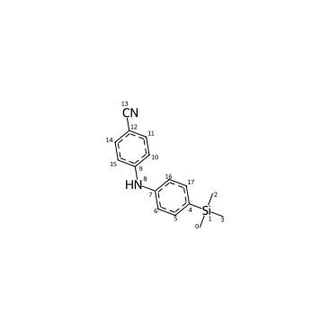 C[Si](C)(C)c1ccc(Nc2ccc(C#N)cc2)cc1